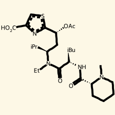 CC[C@H](C)[C@H](NC(=O)[C@H]1CCCCN1C)C(=O)N(CC)[C@H](C[C@@H](OC(C)=O)c1nc(C(=O)O)cs1)C(C)C